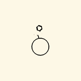 O=C(Oc1ccccc1)C1CCCCCCCCCCCCCCCCCC1